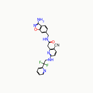 N#Cc1ccc(NCC(F)(F)c2ccccn2)nc1CC(=O)NCc1ccc2c(N)noc2c1